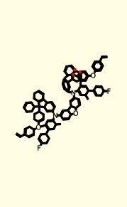 C=CC1=CCC(OC2=CCC(C3(C4CC=CCC4)C4=C(C=CCC4)C4C=CC(N(C5=CC6C(C=C5)OC5C=CC(N7C8=CC(C)C(C9=CCC(F)C=C9)C=C8c8cc(Oc9ccc(C=C)cc9)ccc8C8C=CC=CC8c8ccc7cc8C7=CCCCC7)=CC56)C5=CC(C)=C(C6CC=C(F)CC6)CC5C)=CC43)CC2)C=C1